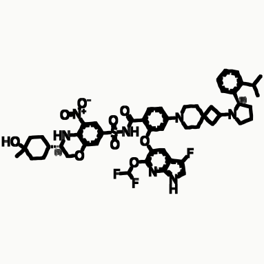 CC(C)c1ccccc1[C@H]1CCCN1C1CC2(CCN(c3ccc(C(=O)NS(=O)(=O)c4cc5c(c([N+](=O)[O-])c4)N[C@@H](C4CCC(C)(O)CC4)CO5)c(Oc4cc5c(F)c[nH]c5nc4OC(F)F)c3)CC2)C1